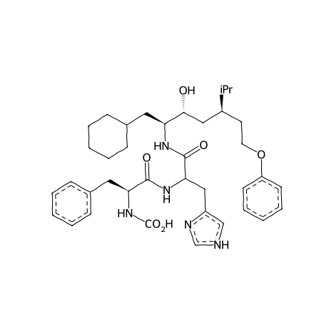 CC(C)[C@@H](CCOc1ccccc1)C[C@@H](O)[C@H](CC1CCCCC1)NC(=O)C(Cc1c[nH]cn1)NC(=O)[C@H](Cc1ccccc1)NC(=O)O